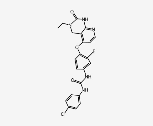 CCN1Cc2c(Oc3ccc(NC(=O)Nc4ccc(Cl)cc4)cc3F)ccnc2NC1=O